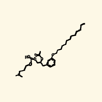 CCCCCCCCCCCCCOc1cccc(CC(COP(O)OCCCN(C)C)OC(C)=O)c1